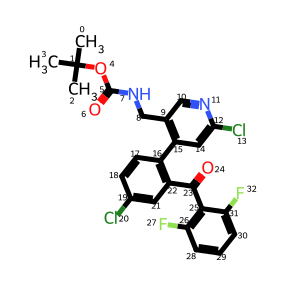 CC(C)(C)OC(=O)NCc1cnc(Cl)cc1-c1ccc(Cl)cc1C(=O)c1c(F)cccc1F